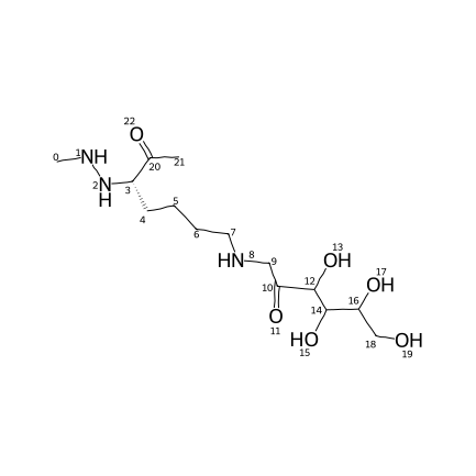 CNN[C@@H](CCCCNCC(=O)C(O)C(O)C(O)CO)C(C)=O